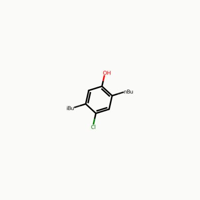 CCCCc1cc(Cl)c(C(C)CC)cc1O